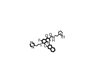 CCN1CCCC1CCNC(=O)c1cn2c3c(c(SCCc4cnccn4)c(F)cc3c1=O)Oc1cc3ccccc3cc1-2